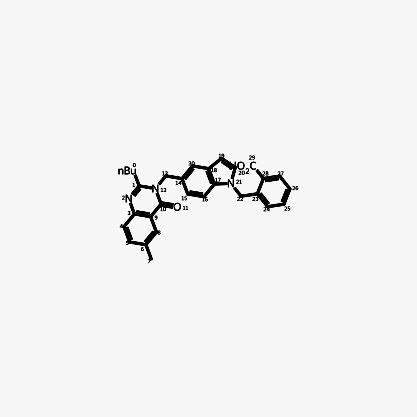 CCCCc1nc2ccc(C)cc2c(=O)n1Cc1ccc2c(ccn2Cc2ccccc2C(=O)O)c1